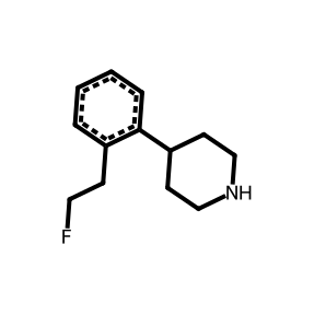 FCCc1ccccc1C1CCNCC1